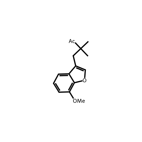 COc1cccc2c(CC(C)(C)C(C)=O)coc12